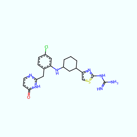 N=C(N)Nc1nc(C2CCCC(Nc3cc(Cl)ccc3Cc3nccc(=O)[nH]3)C2)cs1